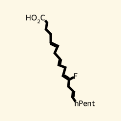 CCCCCC=CCC(F)=CCC=CCC=CCCCC(=O)O